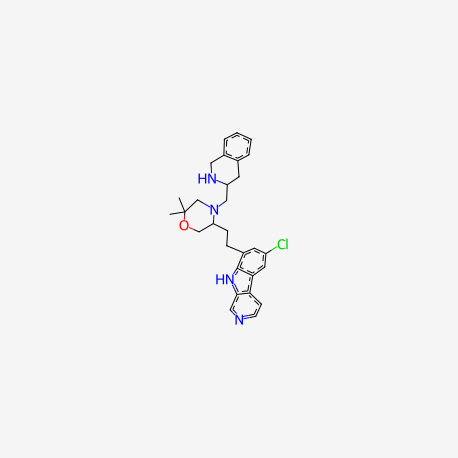 CC1(C)CN(CC2Cc3ccccc3CN2)C(CCc2cc(Cl)cc3c2[nH]c2cnccc23)CO1